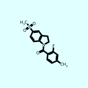 Cc1ccc(C(=O)N2CCc3cc(S(C)(=O)=O)ccc32)c(F)c1